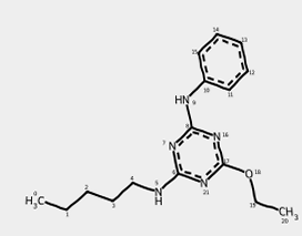 CCCCCNc1nc(Nc2ccccc2)nc(OCC)n1